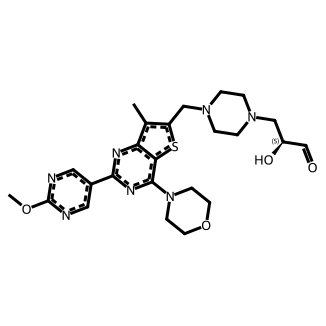 COc1ncc(-c2nc(N3CCOCC3)c3sc(CN4CCN(C[C@H](O)C=O)CC4)c(C)c3n2)cn1